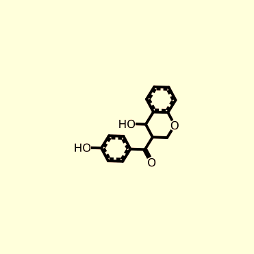 O=C(c1ccc(O)cc1)C1COc2ccccc2C1O